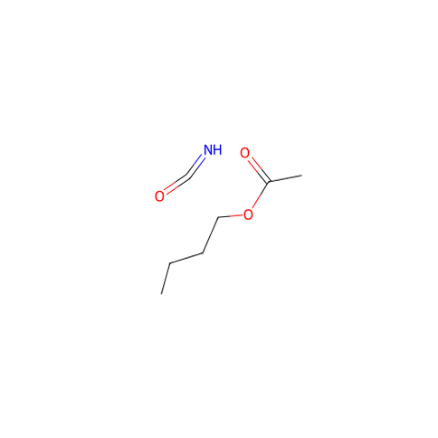 CCCCOC(C)=O.N=C=O